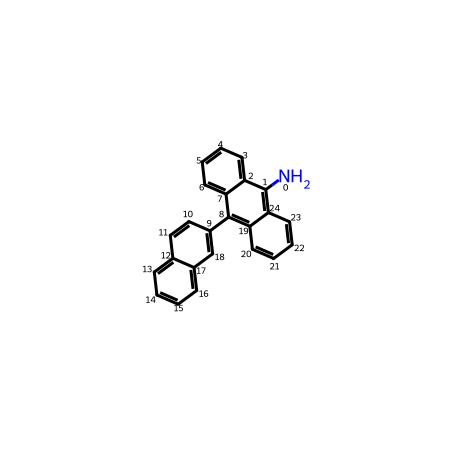 Nc1c2ccccc2c(-c2ccc3ccccc3c2)c2ccccc12